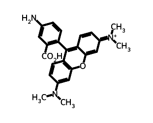 CN(C)c1ccc2c(-c3ccc(N)cc3C(=O)O)c3ccc(=[N+](C)C)cc-3oc2c1